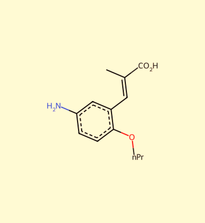 CCCOc1ccc(N)cc1C=C(C)C(=O)O